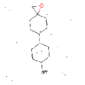 CCCC1CCC(C2CCC3(CC2)CO3)CC1